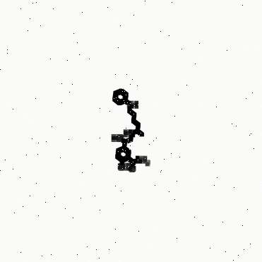 CC(CCCCNc1ccccc1)NCC(O)c1ccc(O)c(C(N)=O)c1